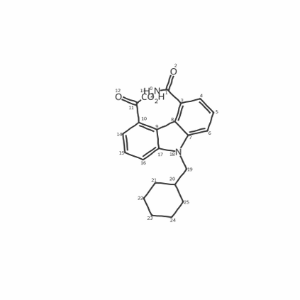 NC(=O)c1cccc2c1c1c(C(=O)C(=O)O)cccc1n2CC1CCCCC1